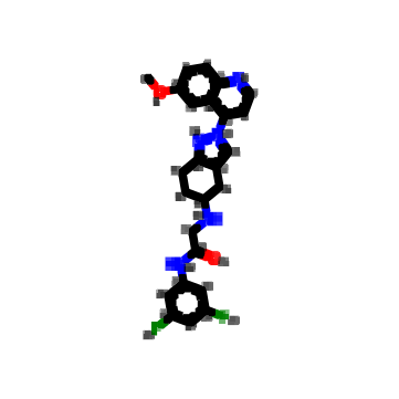 COc1ccc2nccc(-n3cc4c(n3)CCC(NCC(=O)Nc3cc(F)cc(F)c3)C4)c2c1